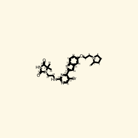 CC1CCCN1CCOc1ccc2sc(-c3nc(NCCN4C(=O)NC(=O)C4(C)C)ncc3Br)cc2c1